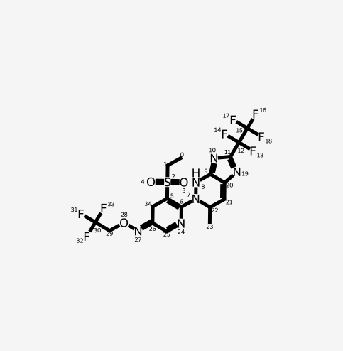 CCS(=O)(=O)C1=C(N2NC3=NC(C(F)(F)C(F)(F)F)=NC3=CC2C)N=CC(=NOCC(F)(F)F)C1